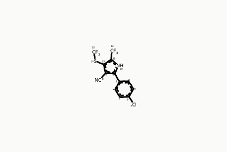 N#Cc1c(-c2ccc(Cl)cc2)[nH]c(C(F)(F)F)c1SC(F)(F)F